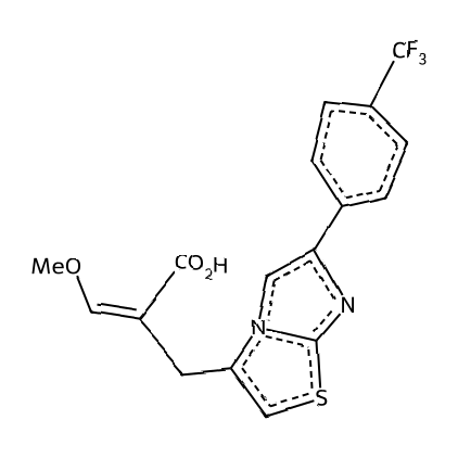 CO/C=C(/Cc1csc2nc(-c3ccc(C(F)(F)F)cc3)cn12)C(=O)O